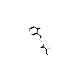 N[C@@H](CO)C(=O)NN=Cc1c[nH]ccc1=O